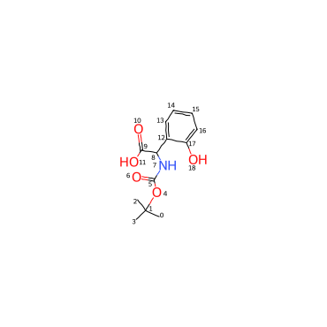 CC(C)(C)OC(=O)NC(C(=O)O)c1ccccc1O